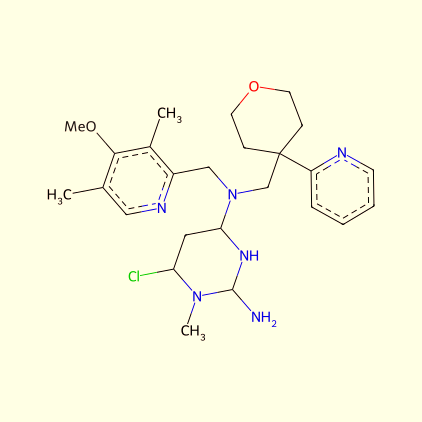 COc1c(C)cnc(CN(CC2(c3ccccn3)CCOCC2)C2CC(Cl)N(C)C(N)N2)c1C